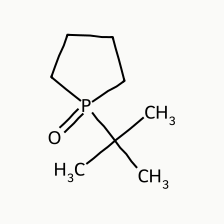 CC(C)(C)P1(=O)CCCC1